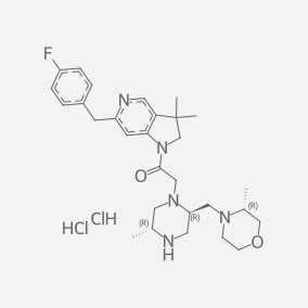 C[C@@H]1CN(CC(=O)N2CC(C)(C)c3cnc(Cc4ccc(F)cc4)cc32)[C@@H](CN2CCOC[C@H]2C)CN1.Cl.Cl